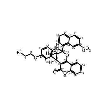 CC1(C)[C@@H]2c3cc(OCCBr)ccc3NC1(c1cccc3ccc([N+](=O)[O-])cc13)Oc1c2c(=O)oc2ccccc12